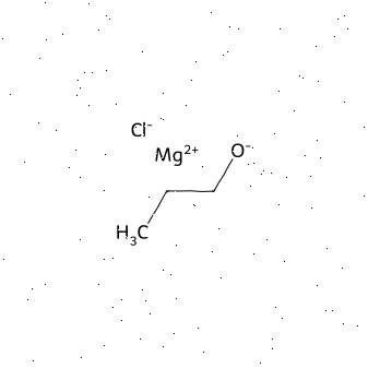 CCC[O-].[Cl-].[Mg+2]